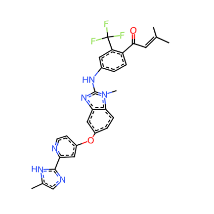 CC(C)=CC(=O)c1ccc(Nc2nc3cc(Oc4ccnc(-c5ncc(C)[nH]5)c4)ccc3n2C)cc1C(F)(F)F